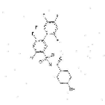 O=C(NS(=O)(=O)c1cc(-c2c(F)cc(F)c(F)c2F)c(F)cc1Cl)C1CCC(O)CC1